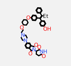 CC/C(=C(\c1ccc(O)cc1)c1ccc(OC2CCC(OCCN3CCN(c4ccc5c(c4)C(=O)N(C4CCC(=O)NC4=O)C5=O)CC3)CC2)cc1)c1ccccc1